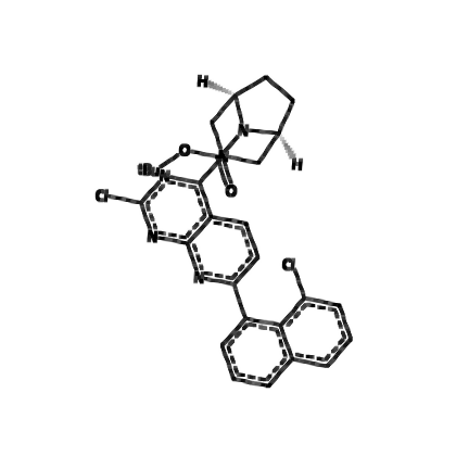 CC(C)(C)OC(=O)N1[C@@H]2CC[C@H]1CN(c1nc(Cl)nc3nc(-c4cccc5cccc(Cl)c45)ccc13)C2